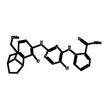 CNC(=O)c1ccccc1Nc1nc(Nc2ccc3c(c2Cl)C2CCC(C3)N2CCOC)ncc1Cl